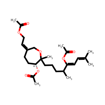 CC(=O)OCC=C1CC[C@@H](OC(C)=O)C(C)(CCCC(C)C(=CC=C(C)C)OC(C)=O)OC1